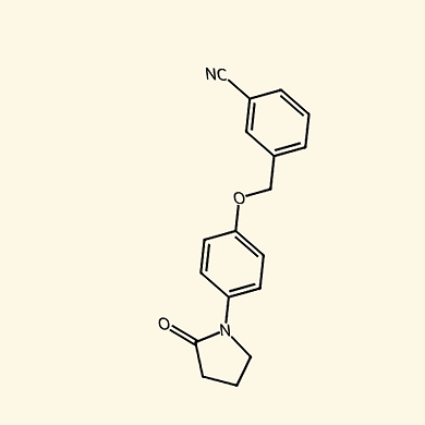 N#Cc1cccc(COc2ccc(N3CCCC3=O)cc2)c1